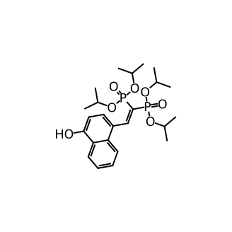 CC(C)OP(=O)(OC(C)C)C(=Cc1ccc(O)c2ccccc12)P(=O)(OC(C)C)OC(C)C